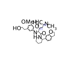 C/N=C(C)\C=C(/O)C(Nc1cc(CCO)cc(OC)c1)C(=O)N1CCCCC1c1ccc2c(c1)OCC2